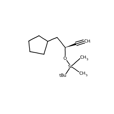 C#C[C@H](CC1CCCC1)O[Si](C)(C)C(C)(C)C